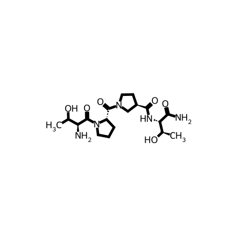 CC(O)[C@H](N)C(=O)N1CCC[C@H]1C(=O)N1CC[C@@H](C(=O)N[C@H](C(N)=O)[C@@H](C)O)C1